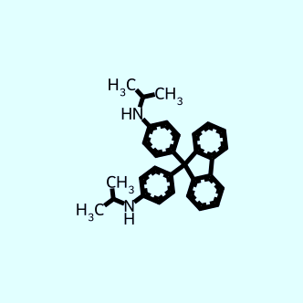 CC(C)Nc1ccc(C2(c3ccc(NC(C)C)cc3)c3ccccc3-c3ccccc32)cc1